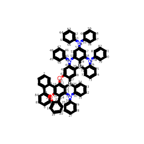 c1ccc(-c2ccccc2-c2c3c4c(c5c2oc2ccccc25)N(c2ccccc2)c2ccccc2B4c2cc4c(cc2O3)N(c2ccccc2)c2cc(N(c3ccccc3)c3ccccc3)cc3c2B4c2ccccc2N3c2ccccc2)cc1